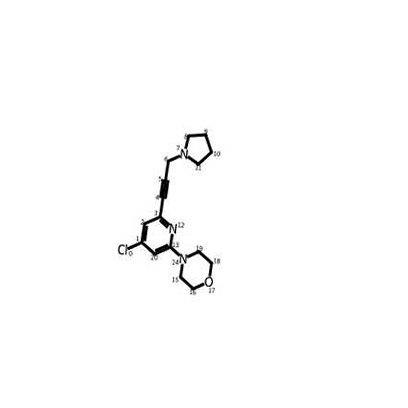 Clc1cc(C#CCN2CCCC2)nc(N2CCOCC2)c1